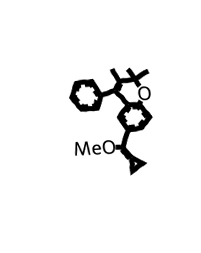 COC(=C1CC1)c1ccc2c(c1)C(c1ccccc1)=C(C)C(C)(C)O2